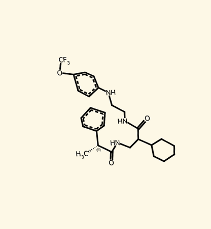 C[C@@H](C(=O)NCC(C(=O)NCCNc1ccc(OC(F)(F)F)cc1)C1CCCCC1)c1ccccc1